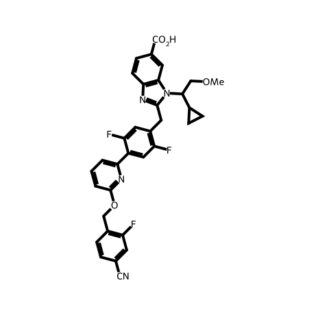 COCC(C1CC1)n1c(Cc2cc(F)c(-c3cccc(OCc4ccc(C#N)cc4F)n3)cc2F)nc2ccc(C(=O)O)cc21